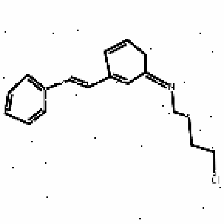 ClCCCCN=C1C=C(C=Cc2ccccc2)C=CC1